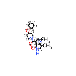 Cc1c[nH]c(=O)c2c(C(=O)N3CCC(Oc4ccccc4)CC3)cn(C)c12